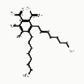 CCCCCCCCc1c(Cl)c(Cl)c(C(=O)O)c(C(=O)O)c1CCCCCCCC